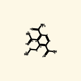 NC(=O)c1ccc(C(=O)O)c(CCO)c1C(=O)O